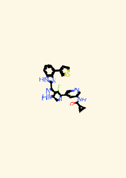 O=C(Nc1cncc(-c2ncc3[nH]nc(-c4nc5c(-c6ccsc6)cccc5[nH]4)c3c2F)c1)C1CC1